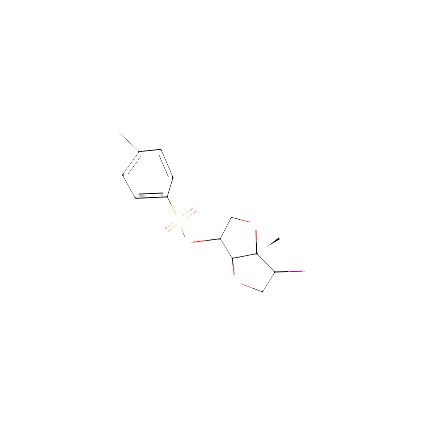 Cc1ccc(S(=O)(=O)OC2CO[C@@H]3C(I)COC23)cc1